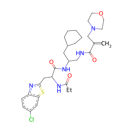 C=C(CN1CCOCC1)C(=O)NCC(CC1CCCCC1)NC(=O)C(Cc1nc2ccc(Cl)cc2s1)NC(=O)CC